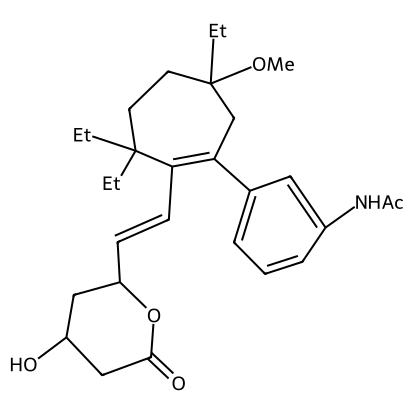 CCC1(OC)CCC(CC)(CC)C(C=CC2CC(O)CC(=O)O2)=C(c2cccc(NC(C)=O)c2)C1